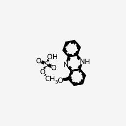 COS(=O)(=O)O.O=c1cccc2[nH]c3ccccc3nc1-2